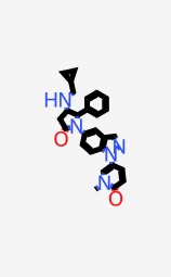 Cn1cc(-n2ncc3cc(N4C(=O)CC(NCC5CC5)C4c4ccccc4)ccc32)ccc1=O